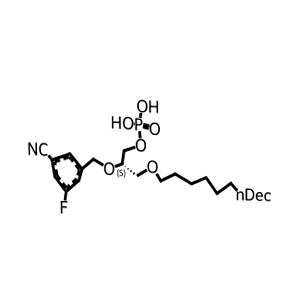 CCCCCCCCCCCCCCCCOC[C@@H](COP(=O)(O)O)OCc1cc(F)cc(C#N)c1